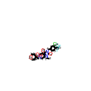 CCN1C(=O)N(Cc2ccc(C(F)(F)F)c(Cl)c2)C(=O)C12CCN(CC1(O)CCOCC1)CC2